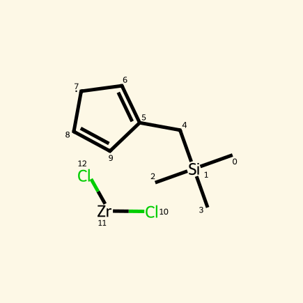 C[Si](C)(C)CC1=C[CH]C=C1.[Cl][Zr][Cl]